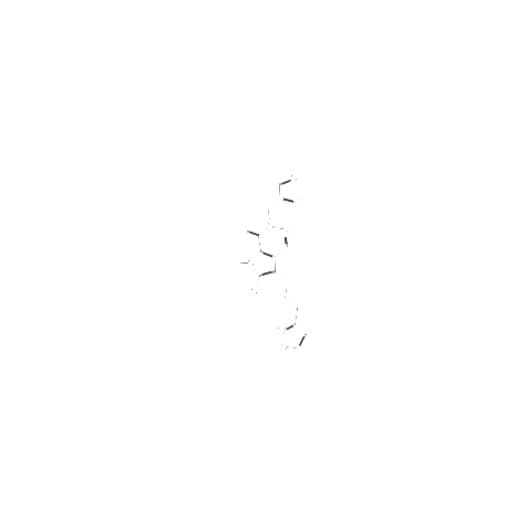 Cn1c(N)c(SCCc2cc[nH]n2)c2cnn(Cc3cnsc3)c(=O)c21